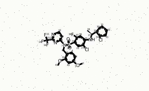 COc1ccc(CN(c2ccnc(C(F)(F)F)n2)S(=O)(=O)c2cc(Cl)c(N[C@@H](C)c3ccccc3Cl)cc2F)c(OC)c1